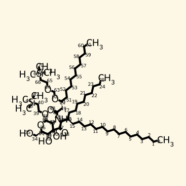 CCCCCCCCCCCCCCCC[C@H](CCCCCCCCC)CC(=O)[C@]1(O)[C@H](O)[C@@H](CO)O[C@H](OCC[Si](C)(C)C)[C@H]1NC(=O)C[C@@H](CCCCCCCCCCC)OCOCC[Si](C)(C)C